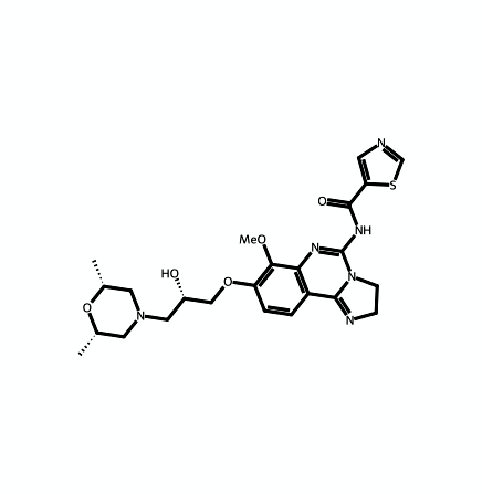 COc1c(OC[C@@H](O)CN2C[C@@H](C)O[C@@H](C)C2)ccc2c1N=C(NC(=O)c1cncs1)N1CCN=C21